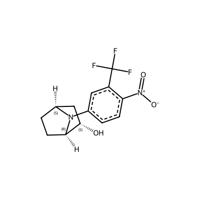 O=[N+]([O-])c1ccc(N2[C@H]3CC[C@@H]2[C@@H](O)C3)cc1C(F)(F)F